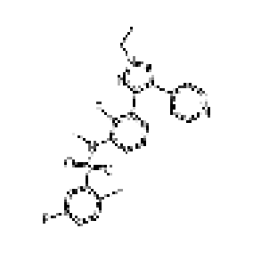 [CH2]N(c1cccc(-c2nn(CC)cc2-c2ccncc2)c1F)S(=O)(=O)c1cc(F)ccc1F